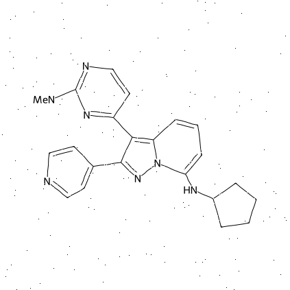 CNc1nccc(-c2c(-c3ccncc3)nn3c(NC4CCCC4)cccc23)n1